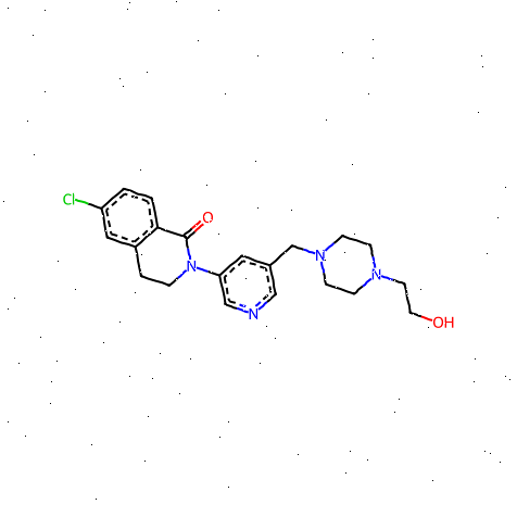 O=C1c2ccc(Cl)cc2CCN1c1cncc(CN2CCN(CCO)CC2)c1